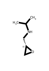 CC(C)NC[C@H]1CO1